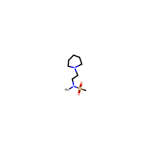 CC(C)(C)N(CCN1CCCCC1)S(C)(=O)=O